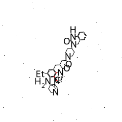 CCc1cc(C[C@@H](CC(=O)N2CCC(N3Cc4ccccc4NC3=O)CC2)C(=O)N2CCN(C3CN4CCC3CC4)CC2)cc(Cl)c1N